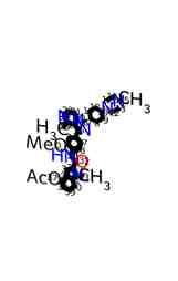 COc1cc(-c2nc([C@H]3CC[C@H](N4CCN(C)CC4)CC3)n3ccnc(C)c23)ccc1NC(=O)c1cc2c(OC(C)=O)cccc2n1C